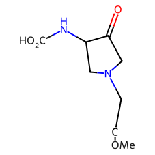 COCCN1CC(=O)C(NC(=O)O)C1